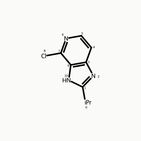 CC(C)c1nc2ccnc(Cl)c2[nH]1